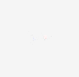 C1=CCC(c2ccc(N(c3ccc(-c4cc5c6cccc(-c7ccccc7)c6oc5c5ccccc45)cc3)c3ccc4ccccc4c3)cc2)C=C1